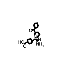 Nc1nc2ccc(C(=O)c3ccccc3)cn2c1-c1ccc(C(=O)O)cc1